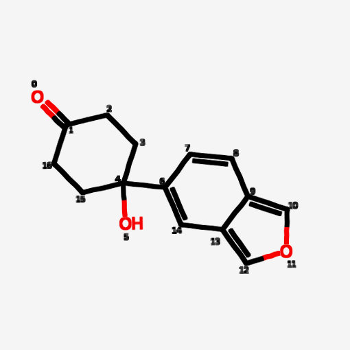 O=C1CCC(O)(c2ccc3cocc3c2)CC1